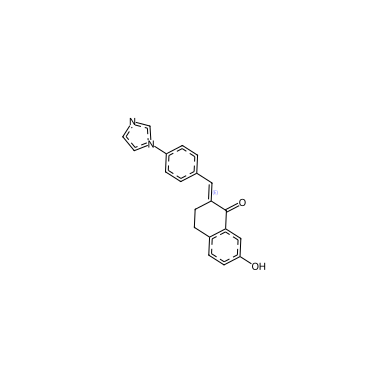 O=C1/C(=C/c2ccc(-n3ccnc3)cc2)CCc2ccc(O)cc21